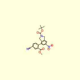 COC(=O)c1cc(C#N)ccc1-c1cc([N+](=O)[O-])cc2c1CN(C(=O)OC(C)(C)C)C2